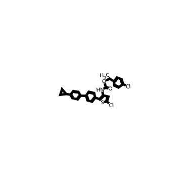 C[C@@H](OC(=O)Nc1cc(Cl)sc1-c1ccc(-c2ccc(C3CC3)cc2)cc1)c1ccc(Cl)cc1